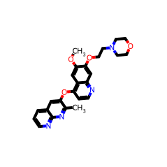 COc1cc2c(Oc3cc4cccnc4nc3C)ccnc2cc1OCCN1CCOCC1